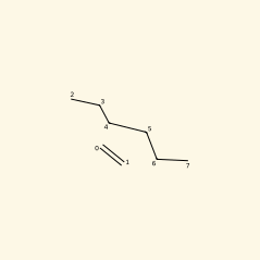 C=C.CCCCCC